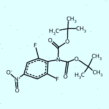 CC(C)(C)OC(=O)N(C(=O)OC(C)(C)C)c1c(F)cc([N+](=O)[O-])cc1F